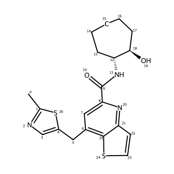 Cc1ncc(Cc2cc(C(=O)N[C@@H]3CCCCC[C@H]3O)nc3ccsc23)s1